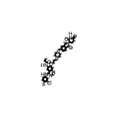 C=CC(=O)Nc1cc2c(Nc3ccc(F)c(Cl)c3)ncnc2cc1OCCCN1CCN(Cc2ccc3c(c2)CN(C2CCC(=O)NC2=O)C3=O)CC1